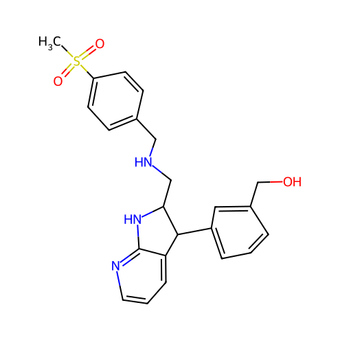 CS(=O)(=O)c1ccc(CNCC2Nc3ncccc3C2c2cccc(CO)c2)cc1